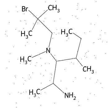 CCC(C)C(C(C)N)N(C)CC(C)(C)Br